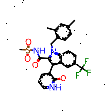 Cc1ccc(Cn2c(C(=O)NS(C)(=O)=O)c(-c3ccc[nH]c3=O)c3cc(C(F)(F)F)ccc32)c(C)c1